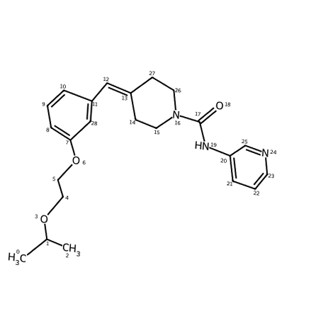 CC(C)OCCOc1cccc(C=C2CCN(C(=O)Nc3cccnc3)CC2)c1